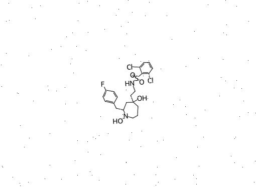 O=S(=O)(NCCC1(O)CCCN(O)C(Cc2ccc(F)cc2)C1)c1c(Cl)cccc1Cl